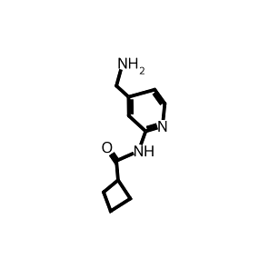 NCc1ccnc(NC(=O)C2CCC2)c1